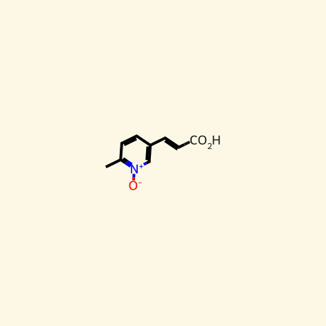 Cc1ccc(/C=C/C(=O)O)c[n+]1[O-]